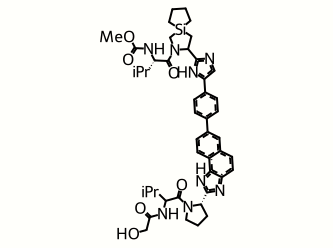 COC(=O)N[C@H](C(=O)N1C[Si]2(CCCC2)CC1c1ncc(-c2ccc(-c3ccc4c(ccc5nc([C@@H]6CCCN6C(=O)C(NC(=O)CO)C(C)C)[nH]c54)c3)cc2)[nH]1)C(C)C